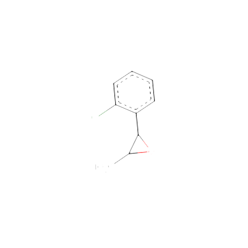 O=C(O)C1OC1c1ccccc1Cl